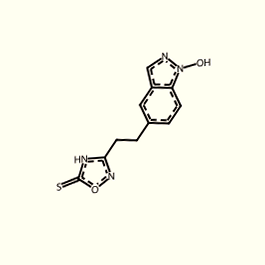 On1ncc2cc(CCc3noc(=S)[nH]3)ccc21